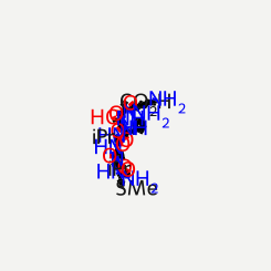 CSCC[C@H](NC(=O)[C@H](CC(C)C)N1CC[C@H](NC(=O)[C@@H](NC(=O)[C@H](Cc2ccccc2)NC(=O)[C@H](CO)NC(=O)[C@H](CC(=O)O)NC(=O)[C@@H](N)CCCCN)C(C)C)C1=O)C(N)=O